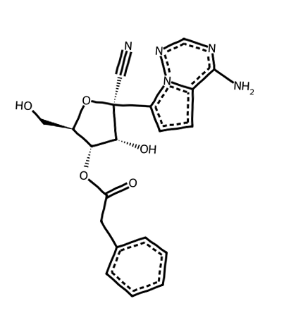 N#C[C@@]1(c2ccc3c(N)ncnn23)O[C@H](CO)[C@@H](OC(=O)Cc2ccccc2)[C@H]1O